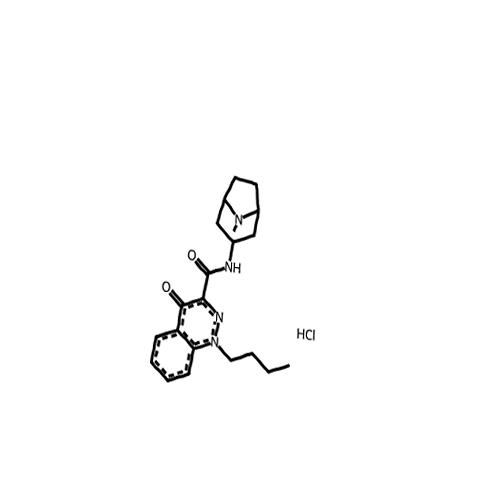 CCCCn1nc(C(=O)NC2CC3CCC(C2)N3C)c(=O)c2ccccc21.Cl